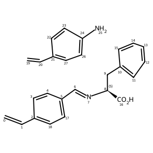 C=Cc1ccc(C=N[C@@H](Cc2ccccc2)C(=O)O)cc1.C=Cc1ccc(N)cc1